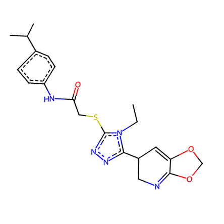 CCn1c(SCC(=O)Nc2ccc(C(C)C)cc2)nnc1C1C=C2OCOC2=NC1